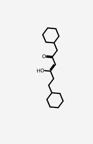 O=C(/C=C(\O)CCC1CCCCC1)CC1CCCCC1